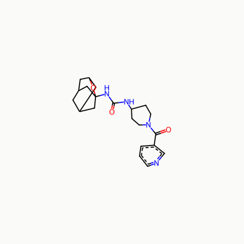 O=C(NC1CCN(C(=O)c2cccnc2)CC1)NC12CC3CC(CC(C3)O1)C2